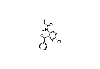 CCC(=O)N(C)c1ccc(Cl)nc1C(=O)c1ccccc1